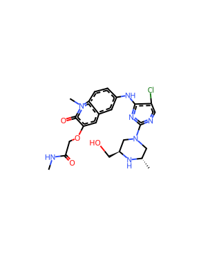 CNC(=O)COc1cc2cc(Nc3nc(N4C[C@H](CO)N[C@@H](C)C4)ncc3Cl)ccc2n(C)c1=O